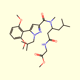 COC(=O)CNC(=O)CC(CC(C)C)N(C)C(=O)c1cc(-c2c(OC)cccc2OC)n(CC(C)C)n1